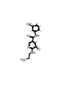 CCCNc1ncc(C(=O)Nc2cccc(Cl)c2)cc1Cl